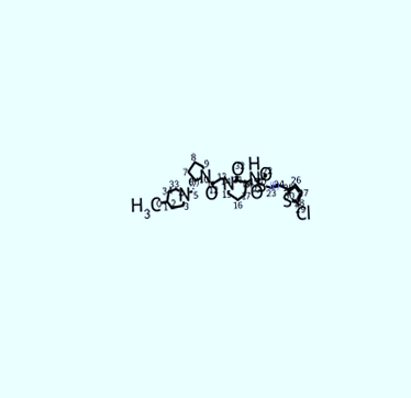 CC1CCN(C[C@@H]2CCCN2C(=O)CN2CCC[C@H](NS(=O)(=O)/C=C/c3ccc(Cl)s3)C2=O)CC1